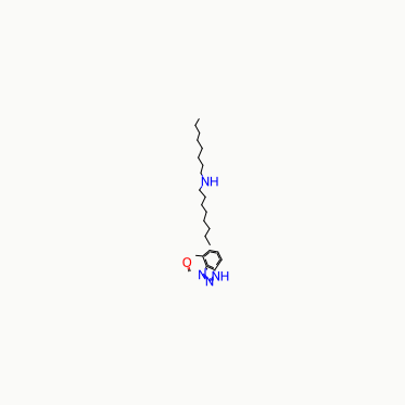 C=O.CCCCCCCCNCCCCCCCC.Cc1cccc2[nH]nnc12